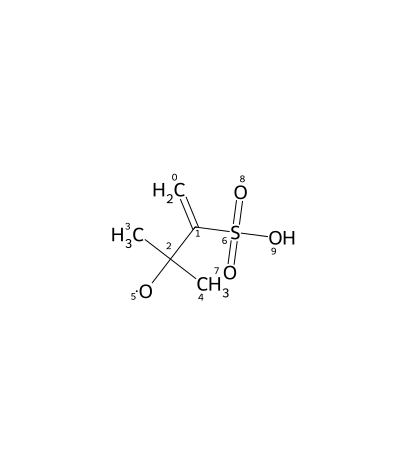 C=C(C(C)(C)[O])S(=O)(=O)O